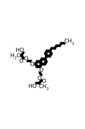 C=C(CO)C(=O)OCCOc1cc(OCCOC(=O)C(=C)CO)c2ccc(-c3ccc(CCCCCCC)cc3)cc2c1